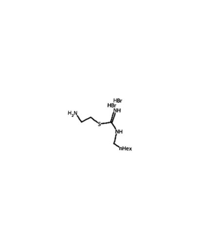 Br.Br.CCCCCCCNC(=N)SCCN